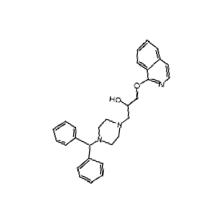 OC(COc1nccc2ccccc12)CN1CCN(C(c2ccccc2)c2ccccc2)CC1